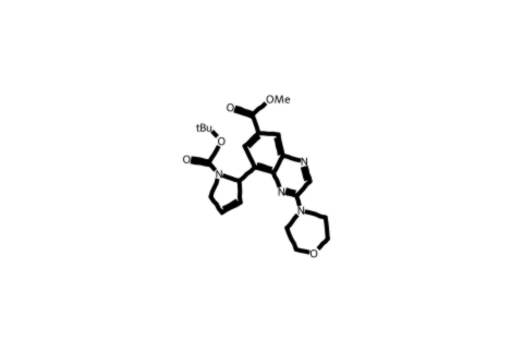 COC(=O)c1cc(C2C=CCN2C(=O)OC(C)(C)C)c2nc(N3CCOCC3)cnc2c1